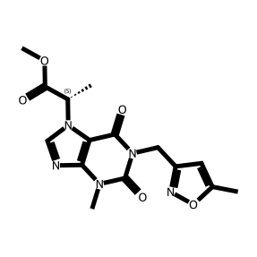 COC(=O)[C@H](C)n1cnc2c1c(=O)n(Cc1cc(C)on1)c(=O)n2C